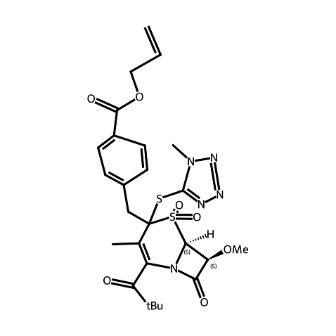 C=CCOC(=O)c1ccc(CC2(Sc3nnnn3C)C(C)=C(C(=O)C(C)(C)C)N3C(=O)[C@H](OC)[C@@H]3S2(=O)=O)cc1